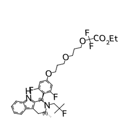 CCOC(=O)C(F)(F)OCCCOCCCOc1cc(F)c([C@@H]2c3[nH]c4ccccc4c3C[C@@H](C)N2CC(C)(C)F)c(F)c1